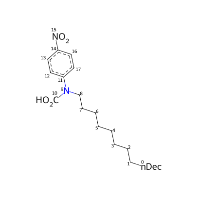 CCCCCCCCCCCCCCCCCCN(C(=O)O)c1ccc([N+](=O)[O-])cc1